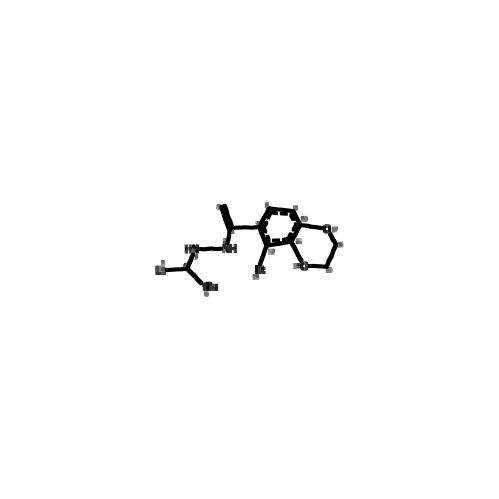 C=C(NNC(CC)C(C)(C)C)c1ccc2c(c1CC)OCCO2